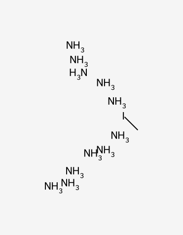 CI.N.N.N.N.N.N.N.N.N.N.N